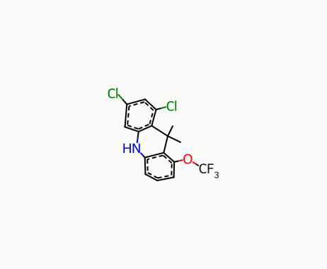 CC1(C)c2c(Cl)cc(Cl)cc2Nc2cccc(OC(F)(F)F)c21